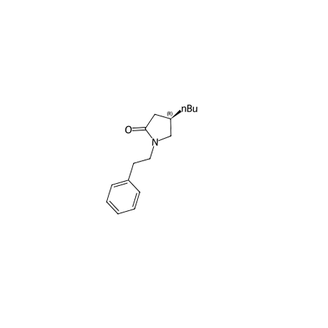 CCCC[C@@H]1CC(=O)N(CCc2ccccc2)C1